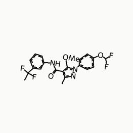 COc1c(C(=O)Nc2cccc(C(C)(F)F)c2)c(C)nn1-c1ccc(OC(F)F)cc1